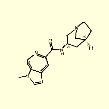 Cn1ccc2cc(C(=O)N[C@@H]3C[C@@H]4CCN(C4)C3)ncc21